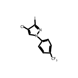 FC(F)(F)c1ccc(-n2cc(Cl)c(I)n2)cc1